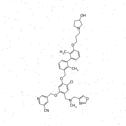 Cc1c(COc2cc(OCc3cncc(C#N)c3)c(CN(C)Cc3cocn3)cc2Cl)cccc1-c1cccc(OCCCN2CCC(O)C2)c1C